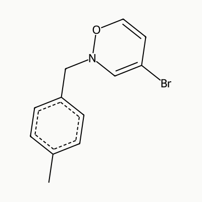 Cc1ccc(CN2C=C(Br)C=CO2)cc1